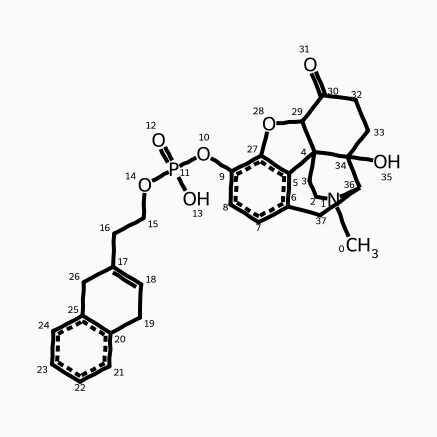 CN1CCC23c4c5ccc(OP(=O)(O)OCCC6=CCc7ccccc7C6)c4OC2C(=O)CCC3(O)C1C5